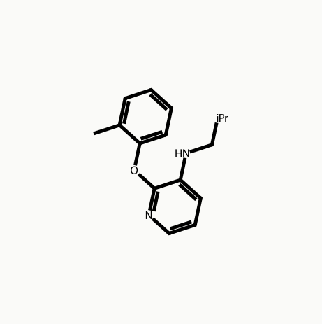 Cc1ccccc1Oc1ncccc1NCC(C)C